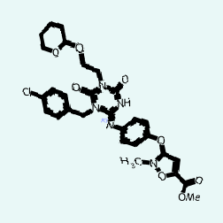 COC(=O)C1=CC(Oc2ccc(/N=c3\[nH]c(=O)n(CCOC4CCCCO4)c(=O)n3Cc3ccc(Cl)cc3)cc2)N(C)O1